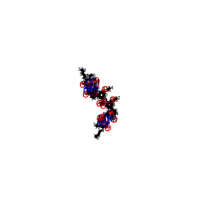 CCCCC[C@@H](C(=O)NCNC(=O)c1ccc(-c2cc(OCC)cc(O[PH](=O)Oc3cc(OCC)cc(-c4ccc(C(=O)NCNC(=O)[C@H](CCCCC)[C@@H](CC)N(C=O)OC(=O)NC(C)(C)C)o4)c3)c2)o1)[C@@H](CC)N(C=O)OC(=O)NC(C)(C)C